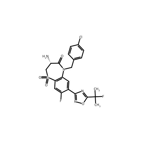 CC(C)(F)c1nc(-c2cc3c(cc2F)S(=O)(=O)C[C@H](N)C(=O)N3Cc2ccc(Cl)cc2)no1